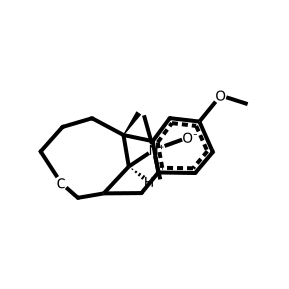 COc1ccc2c(c1)[C@@]1(C)CCCCCC(C2)[C@@H]1[N+](C)(C)[O-]